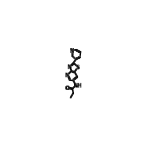 CCC(=O)Nc1cnc2nc(-c3cccnc3)sc2c1